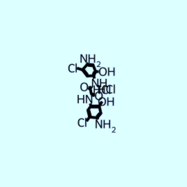 Cl.Cl.Nc1cc(O)c(NC(=O)C(=O)Nc2cc(Cl)c(N)cc2O)cc1Cl